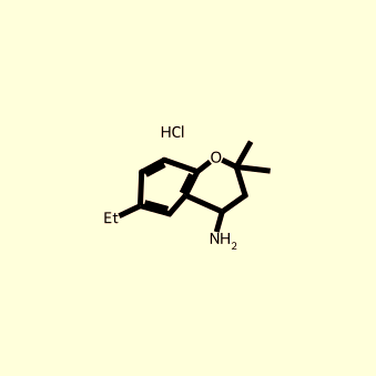 CCc1ccc2c(c1)C(N)CC(C)(C)O2.Cl